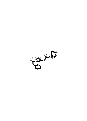 O=C([N-]c1c[n+](C(CO)Cc2ccccc2)no1)Nc1ccc(Cl)cc1